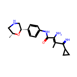 C/C(C(=N)C1CC1)=C(/N)C(=O)Nc1ccc([C@H]2CNC[C@@H](C)O2)cc1